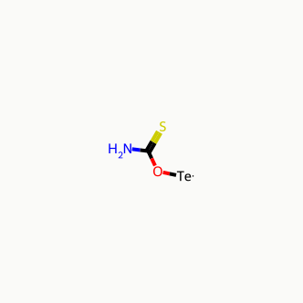 NC(=S)O[Te]